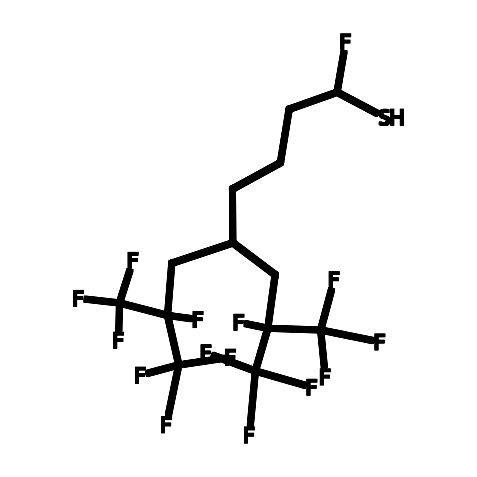 FC(S)CCCC(CC(F)(C(F)(F)F)C(F)(F)F)CC(F)(C(F)(F)F)C(F)(F)F